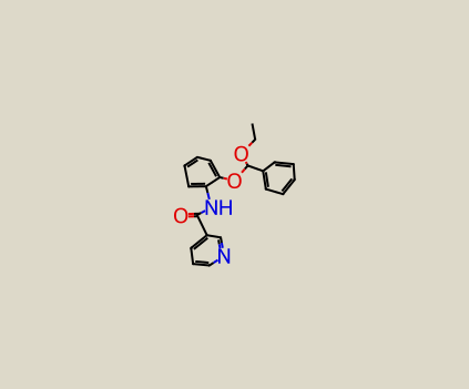 CCOC(Oc1ccccc1NC(=O)c1cccnc1)c1ccccc1